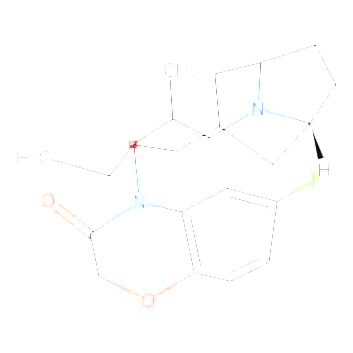 CCCCC1CC2CC[C@H](C1)N2CC(C)CN1C(=O)COc2ccc(F)cc21